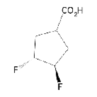 O=C(O)C1C[C@@H](F)[C@H](F)C1